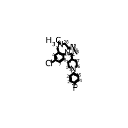 CN1Cc2cc(Cl)ccc2-n2c(nnc2C2CCN(c3ccc(F)cc3)CC2)C1